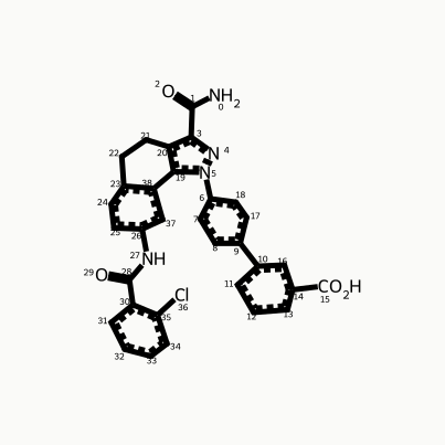 NC(=O)c1nn(-c2ccc(-c3cccc(C(=O)O)c3)cc2)c2c1CCc1ccc(NC(=O)c3ccccc3Cl)cc1-2